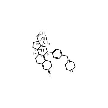 C=C[C@]1(O)CC[C@H]2[C@@H]3CCC4=CC(=O)CCC4=C3[C@@H](c3ccc(CN4CCOCC4)cc3)C[C@@]21C